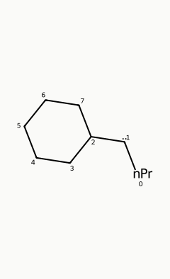 CCC[C]C1CCCCC1